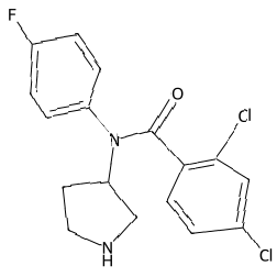 O=C(c1ccc(Cl)cc1Cl)N(c1ccc(F)cc1)C1CCNC1